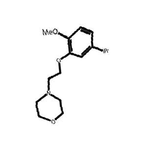 COc1ccc(C(C)C)cc1OCCN1CCOCC1